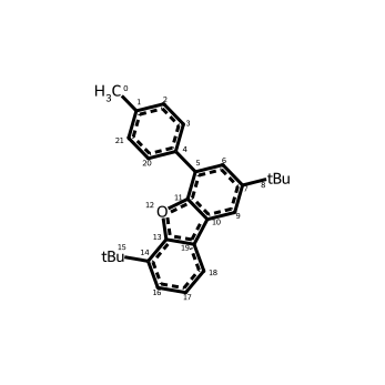 Cc1ccc(-c2cc(C(C)(C)C)cc3c2oc2c(C(C)(C)C)cccc23)cc1